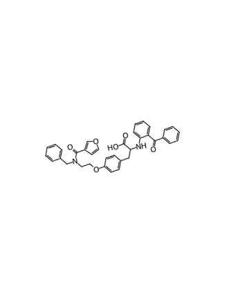 O=C(c1ccccc1)c1ccccc1NC(Cc1ccc(OCCN(Cc2ccccc2)C(=O)c2ccoc2)cc1)C(=O)O